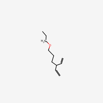 C=CC(C=C)CCCO[SiH2]CC